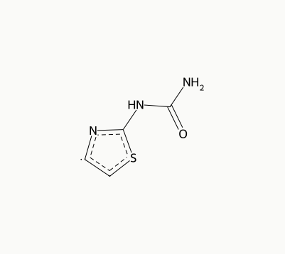 NC(=O)Nc1n[c]cs1